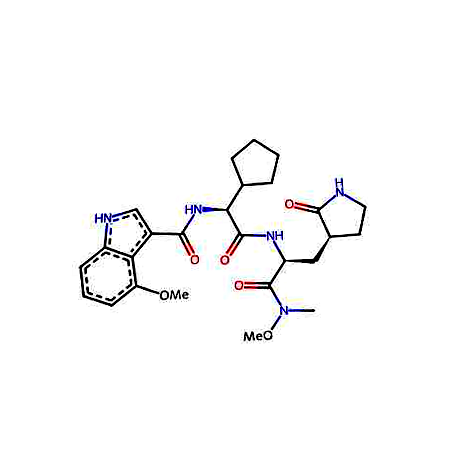 COc1cccc2[nH]cc(C(=O)N[C@H](C(=O)N[C@@H](C[C@@H]3CCNC3=O)C(=O)N(C)OC)C3CCCC3)c12